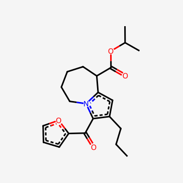 CCCc1cc2n(c1C(=O)c1ccco1)CCCCC2C(=O)OC(C)C